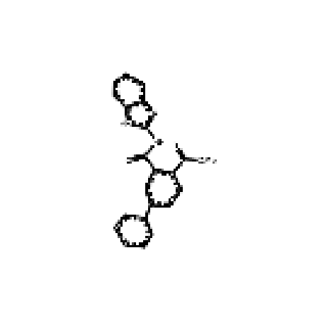 COC(=O)c1ccc(-c2ccccc2)cc1C(=O)Nc1nc2ccccc2[nH]1